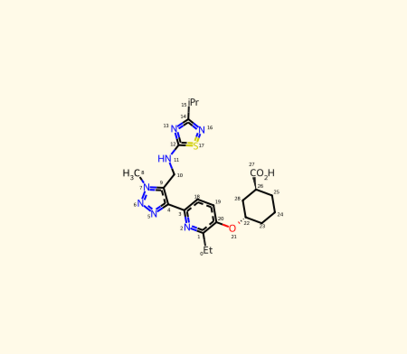 CCc1nc(-c2nnn(C)c2CNc2nc(C(C)C)ns2)ccc1O[C@H]1CCC[C@H](C(=O)O)C1